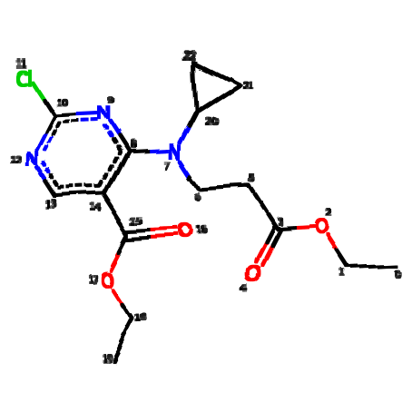 CCOC(=O)CCN(c1nc(Cl)ncc1C(=O)OCC)C1CC1